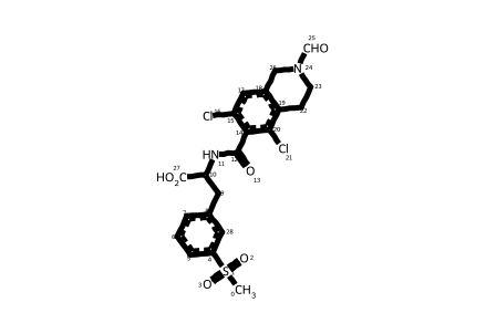 CS(=O)(=O)c1cccc(CC(NC(=O)c2c(Cl)cc3c(c2Cl)CCN(C=O)C3)C(=O)O)c1